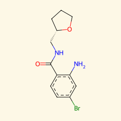 Nc1cc(Br)ccc1C(=O)NC[C@@H]1CCCO1